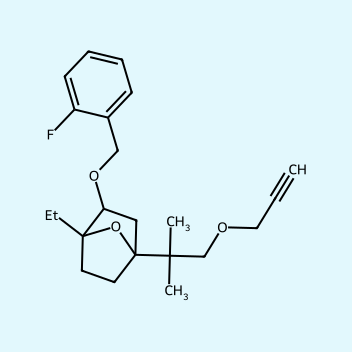 C#CCOCC(C)(C)C12CCC(CC)(O1)C(OCc1ccccc1F)C2